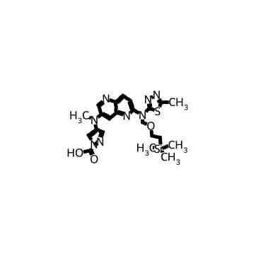 Cc1nnc(N(COCC[Si](C)(C)C)c2ccc3ncc(N(C)c4cnn(C(=O)O)c4)cc3n2)s1